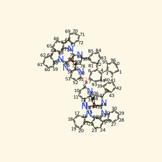 c1ccc(-c2ccc(B(c3ccc4nc(-n5c6ccccc6c6ccc7c8ccccc8n(-c8cccc(-c9ccccc9)n8)c7c65)ccc4n3)c3ccc4nc(-n5c6ccccc6c6ccc7c8ccccc8n(-c8cccc(-c9ccccc9)n8)c7c65)ccc4n3)cc2)cc1